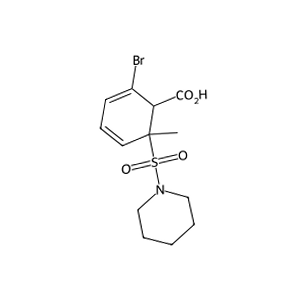 CC1(S(=O)(=O)N2CCCCC2)C=CC=C(Br)C1C(=O)O